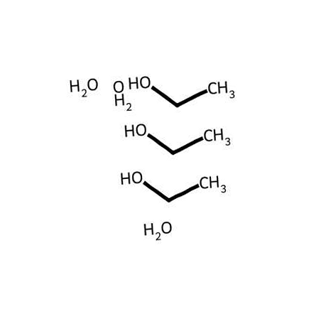 CCO.CCO.CCO.O.O.O